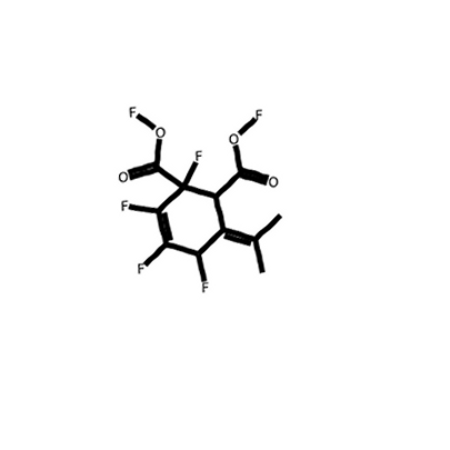 CC(C)=C1C(F)C(F)=C(F)C(F)(C(=O)OF)C1C(=O)OF